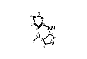 CO[C@H]1CNC[C@H]1Nc1ccccc1